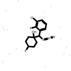 [N-]=[N+]=NC(c1cccc(Cl)c1F)C1(O)CCC(F)CC1